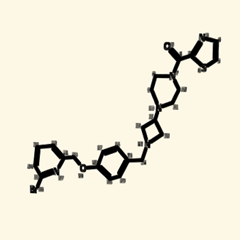 O=C(c1nccs1)N1CCN(C2CN(Cc3ccc(OCc4cccc(Br)n4)cc3)C2)CC1